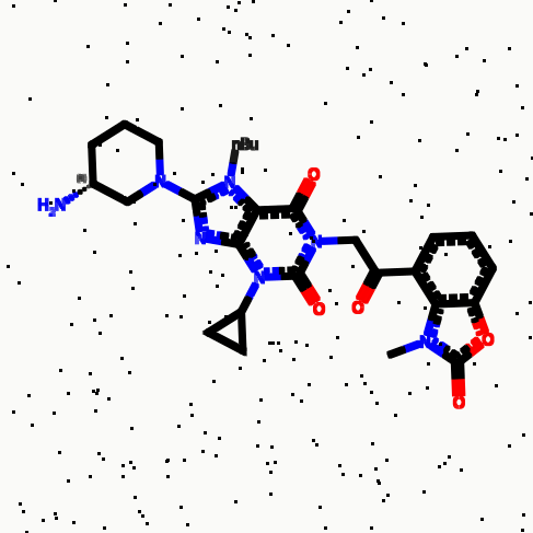 CCCCn1c(N2CCC[C@@H](N)C2)nc2c1c(=O)n(CC(=O)c1cccc3oc(=O)n(C)c13)c(=O)n2C1CC1